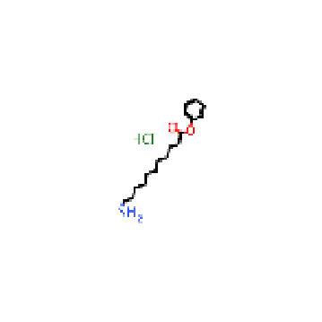 Cl.NCCCCCCCCCCC(=O)Oc1ccccc1